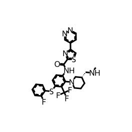 CNC[C@@H]1CCCN(c2c(NC(=O)c3nc(-c4ccnnc4)cs3)ccc(Sc3ccccc3F)c2C(F)(F)F)C1